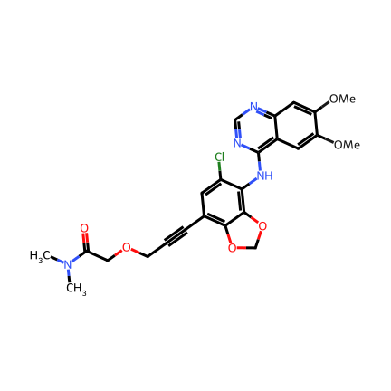 COc1cc2ncnc(Nc3c(Cl)cc(C#CCOCC(=O)N(C)C)c4c3OCO4)c2cc1OC